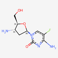 Nc1nc(=O)n([C@H]2C[C@H](N)[C@@H](CO)O2)cc1F